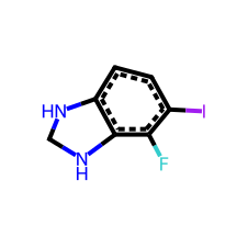 Fc1c(I)ccc2c1NCN2